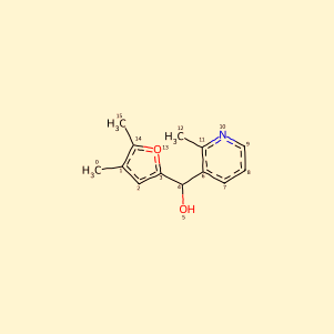 Cc1cc(C(O)c2cccnc2C)oc1C